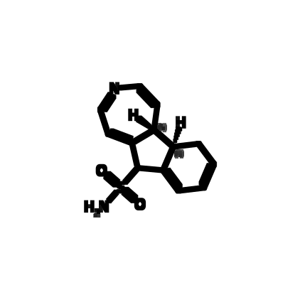 NS(=O)(=O)C1C2=CC=NC=C[C@@H]2[C@H]2CC=CC=C12